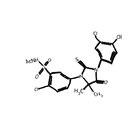 CC(=O)NS(=O)(=O)c1cc(N2C(=S)N(c3ccc(C#N)c(Cl)c3)C(=O)C2(C)C)ccc1Cl